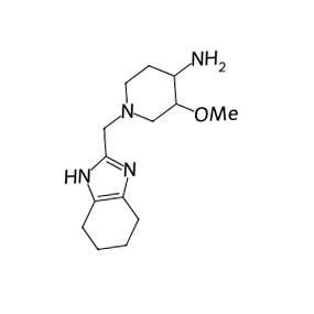 COC1CN(Cc2nc3c([nH]2)CCCC3)CCC1N